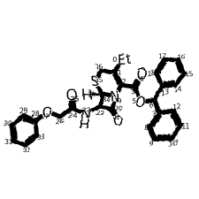 CCC1=C(C(=O)OC(c2ccccc2)c2ccccc2)N2C(=O)C(NC(=O)COc3ccccc3)[C@@H]2SC1